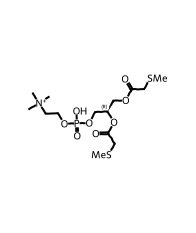 CSCC(=O)OC[C@H](COP(=O)(O)OCC[N+](C)(C)C)OC(=O)CSC